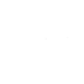 CC1=CCOC(c2ccccc2)C1=O